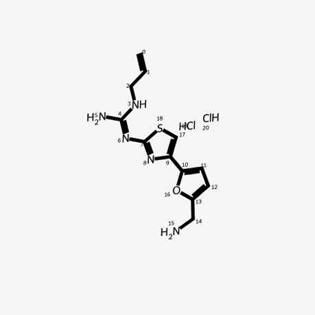 C=CCNC(N)=Nc1nc(-c2ccc(CN)o2)cs1.Cl.Cl